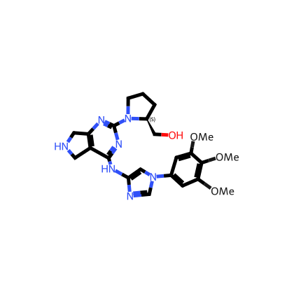 COc1cc(-n2cnc(Nc3nc(N4CCC[C@H]4CO)nc4c3CNC4)c2)cc(OC)c1OC